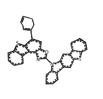 C1=CCCC(c2cc3oc(-n4c5ccccc5c5cc6sc7ccccc7c6cc54)nc3c3c2sc2ccccc23)=C1